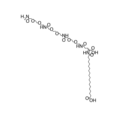 NC(=O)COCCOCCNC(=O)COCCOCCNC(=O)COCCOCCNC(=O)CC[C@H](NC(=O)CCCCCCCCCCCCCCCCCCC(=O)O)C(=O)O